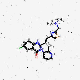 Cc1ncccc1-n1c(/C=C/c2csc(CN(C)C)n2)nc2ccc(F)cc2c1=O